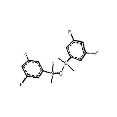 C[Si](C)(O[Si](C)(C)c1cc(F)cc(F)c1)c1cc(F)cc(F)c1